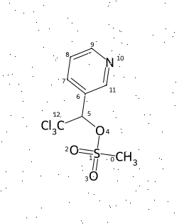 CS(=O)(=O)OC(c1cccnc1)C(Cl)(Cl)Cl